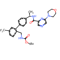 C[C@@H](NC(=O)c1cncc(N2CCOCC2)n1)c1ccc(-c2cc(C(F)(F)F)ccc2CNC(=O)OC(C)(C)C)cc1